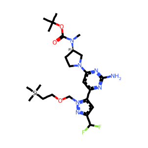 CN(C(=O)OC(C)(C)C)[C@@H]1CCN(c2cc(-c3cc(C(F)F)nn3COCC[Si](C)(C)C)nc(N)n2)C1